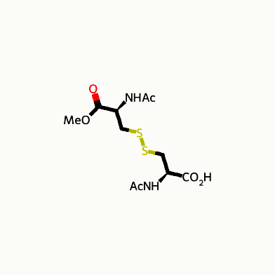 COC(=O)[C@H](CSSC[C@H](NC(C)=O)C(=O)O)NC(C)=O